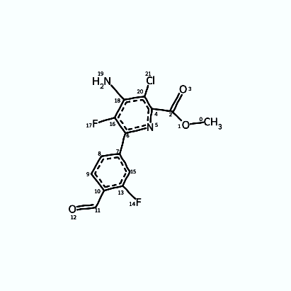 COC(=O)c1nc(-c2ccc(C=O)c(F)c2)c(F)c(N)c1Cl